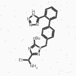 CCCCc1nc(C(N)CC)nn1Cc1ccc(-c2ccccc2-c2nnn[nH]2)cc1